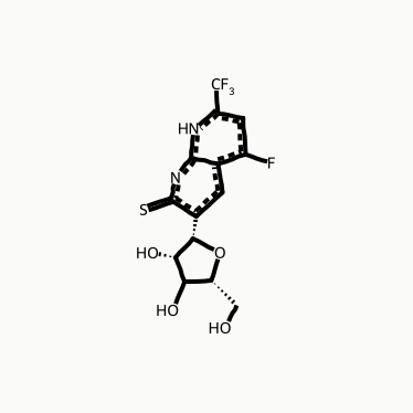 OC[C@H]1O[C@@H](c2cc3c(F)cc(C(F)(F)F)[nH]c-3nc2=S)[C@@H](O)C1O